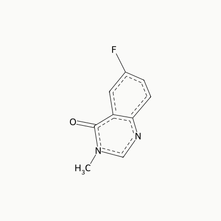 Cn1cnc2ccc(F)cc2c1=O